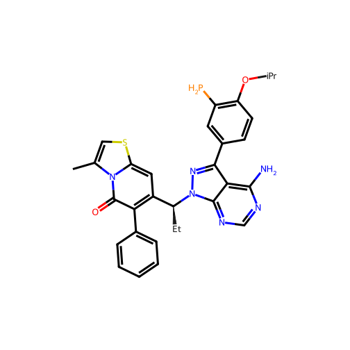 CC[C@@H](c1cc2scc(C)n2c(=O)c1-c1ccccc1)n1nc(-c2ccc(OC(C)C)c(P)c2)c2c(N)ncnc21